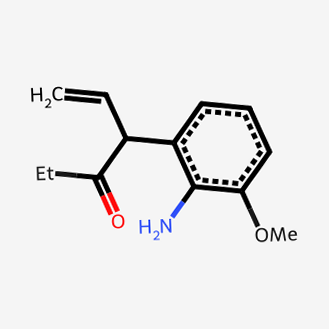 C=CC(C(=O)CC)c1cccc(OC)c1N